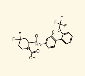 O=C(Nc1ccc(-c2ccccc2OC(F)(F)F)c(Cl)c1)C1CC(F)(F)CCN1C(=O)O